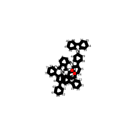 O=C1c2cccc(-n3c4cc(-n5c6ccccc6c6ccccc65)ccc4c4ccc(-n5c6ccccc6c6ccccc65)cc43)c2C(O)N1c1c(-c2ccccc2)cc(-c2ccccc2)cc1-c1ccccc1